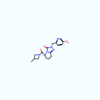 COc1ccc(Cn2nc3n(c2=O)[C@H](C(=O)N2CC(C)C2)CCC3)nc1